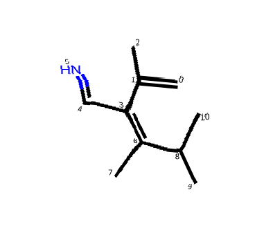 C=C(C)/C(C=N)=C(/C)C(C)C